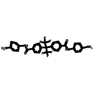 Nc1ccc(NC(=O)c2ccc(C(c3ccc(C(=O)Nc4ccc(N)cc4)cc3)(C(F)(F)F)C(F)(F)F)cc2)cc1